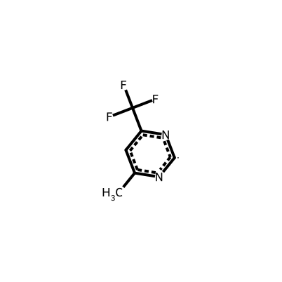 Cc1cc(C(F)(F)F)n[c]n1